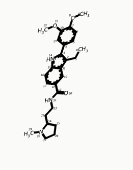 CCc1c(-c2ccc(OC)c(OC)c2)[nH]c2ccc(C(=O)NCCC3CCCN3C)cc12